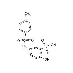 Cc1ccc(S(=O)(=O)Oc2ccc(O)c(S(=O)(=O)O)c2)cc1